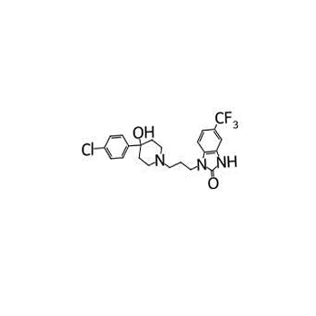 O=c1[nH]c2cc(C(F)(F)F)ccc2n1CCCN1CCC(O)(c2ccc(Cl)cc2)CC1